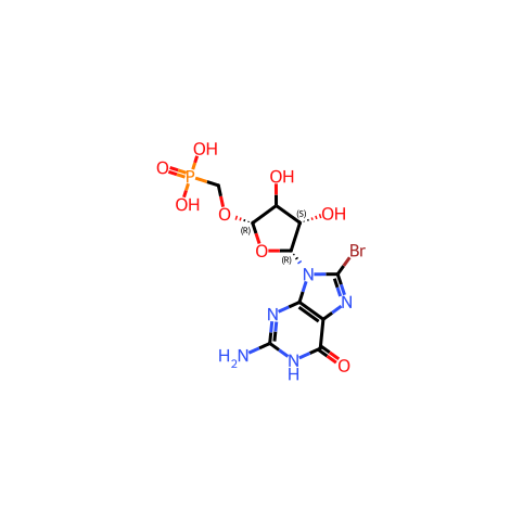 Nc1nc2c(nc(Br)n2[C@@H]2O[C@H](OCP(=O)(O)O)C(O)[C@@H]2O)c(=O)[nH]1